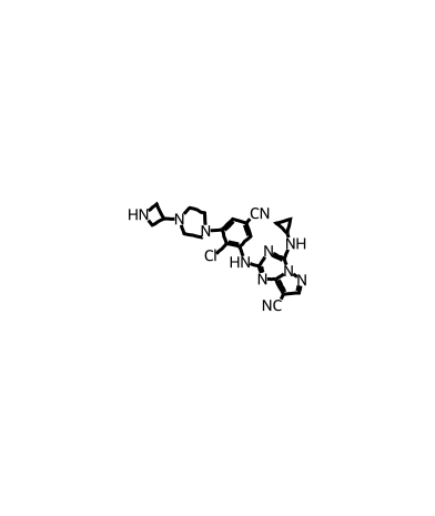 N#Cc1cc(Nc2nc(NC3CC3)n3ncc(C#N)c3n2)c(Cl)c(N2CCN(C3CNC3)CC2)c1